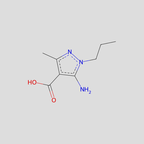 CCCn1nc(C)c(C(=O)O)c1N